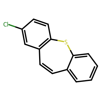 Clc1ccc2c(c1)C=Cc1ccccc1S2